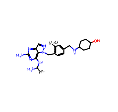 CCCC(N)Nc1nc(N)nc2cnn(Cc3ccc(CNC4CCC(O)CC4)cc3OC)c12